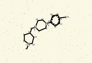 CN1CCC(CN2CCN(c3ccc(I)cc3)CC2)CC1